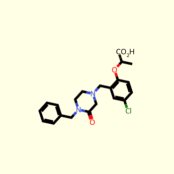 CC(Oc1ccc(Cl)cc1CN1CCN(Cc2ccccc2)C(=O)C1)C(=O)O